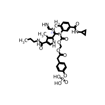 CCCNC(=O)c1c[nH]c(/C(=N\C=N)N(C(=O)OCOC(=O)Cc2ccc(OP(=O)(O)O)cc2)c2cc(C(=O)NC3CC3)ccc2C)c1C